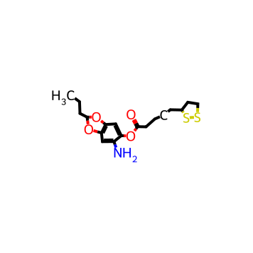 CCCC1Oc2cc(N)c(OC(=O)CCCCC3CCSS3)cc2O1